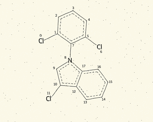 Clc1cccc(Cl)c1-n1cc(Cl)c2ccccc21